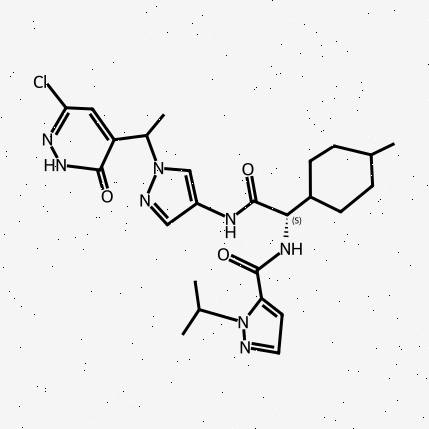 CC1CCC([C@H](NC(=O)c2ccnn2C(C)C)C(=O)Nc2cnn(C(C)c3cc(Cl)n[nH]c3=O)c2)CC1